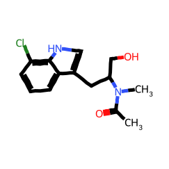 CC(=O)N(C)C(CO)Cc1c[nH]c2c(Cl)cccc12